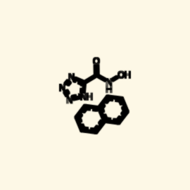 O=C(NO)c1nnn[nH]1.c1ccc2ccccc2c1